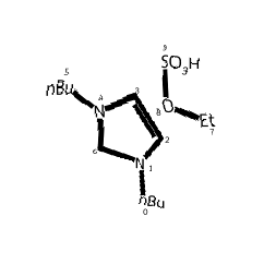 CCCCN1C=CN(CCCC)C1.CCOS(=O)(=O)O